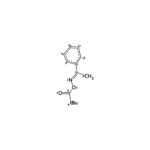 C/C(=N\OC(=O)C(C)(C)C)c1ccccc1